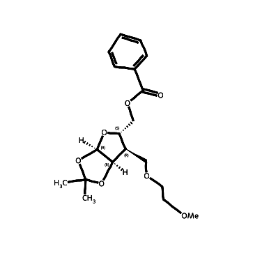 COCCOC[C@H]1[C@H]2OC(C)(C)O[C@H]2O[C@@H]1COC(=O)c1ccccc1